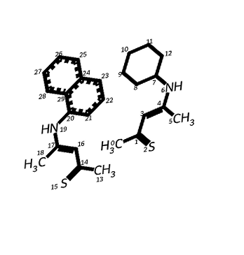 CC(=S)C=C(C)NC1CCCCC1.CC(=S)C=C(C)Nc1cccc2ccccc12